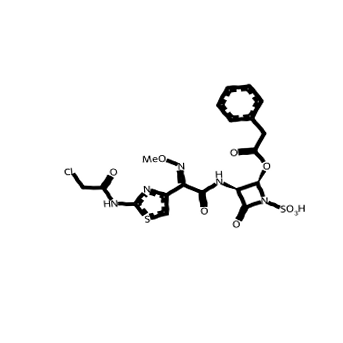 CON=C(C(=O)N[C@@H]1C(=O)N(S(=O)(=O)O)[C@@H]1OC(=O)Cc1ccccc1)c1csc(NC(=O)CCl)n1